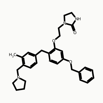 Cc1cc(Cc2[c]cc(OCc3ccccc3)cc2OCCN2CCNC2=O)ccc1CN1CCCC1